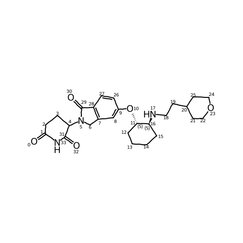 O=C1CCC(N2Cc3cc(O[C@H]4CCCC[C@@H]4NCCC4CCOCC4)ccc3C2=O)C(=O)N1